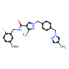 COc1ccc(F)c(CNC(=O)c2cn(Cc3ccc(Cn4cc(C)cn4)cc3)nc2C(F)(F)F)c1